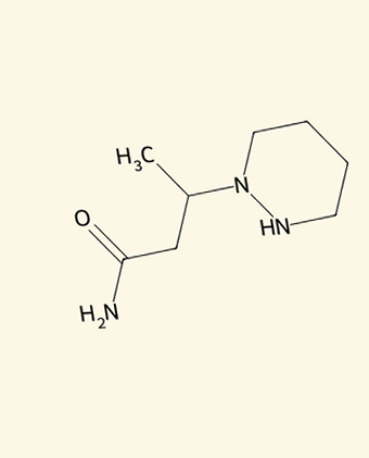 CC(CC(N)=O)N1CCCCN1